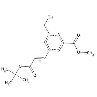 COC(=O)c1cc(/C=C/C(=O)OC(C)(C)C)cc(CO)n1